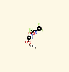 CCOC(=O)[C@@H]1CC[C@H](NC(=O)[C@@]2(C(F)(F)F)CC(c3cc(F)cc(F)c3)=NO2)C1